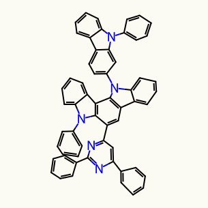 c1ccc(-c2cc(-c3cc4c5ccccc5n(-c5ccc6c7ccccc7n(-c7ccccc7)c6c5)c4c4c5ccccc5n(-c5ccccc5)c34)nc(-c3ccccc3)n2)cc1